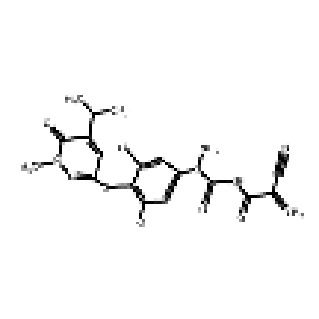 C=C(C#N)C(=O)NC(=O)N(N)c1cc(Cl)c(Sc2cc(C(C)C)c(=O)n(C)n2)c(Cl)c1